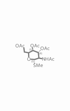 CS[C@@H]1OC(COC(C)=O)[C@@H](OC(C)=O)[C@H](OC(C)=O)C1NC(C)=O